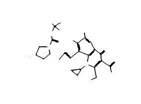 CCc1c(C(=O)O)c(=O)c2cc(F)c(F)c(C=CC[C@@H]3C[C@H](O)CN3C(=O)OC(C)(C)C)c2n1C1CC1